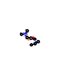 c1ccc(-c2ccc3c4ccccc4n(-c4ccc5oc6cc7c(cc6c5c4)oc4ccc(-c5nc(-c6ccccc6)nc(-c6ccccc6)n5)cc47)c3c2)cc1